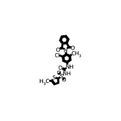 CC1=CCC(S(=O)(=O)NC(=O)Nc2cc(C)c(N3C(=O)c4ccccc4C3=O)c(Cl)c2)S1